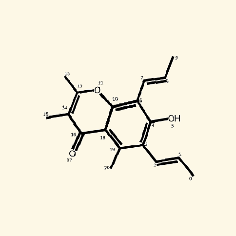 CC=Cc1c(O)c(C=CC)c2oc(C)c(C)c(=O)c2c1C